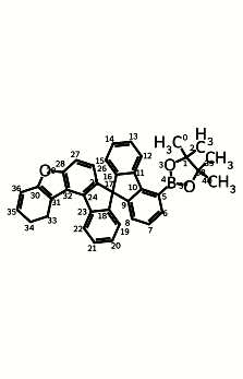 CC1(C)OB(c2cccc3c2-c2ccccc2C32c3ccccc3-c3c2ccc2oc4c(c32)CCC=C4)OC1(C)C